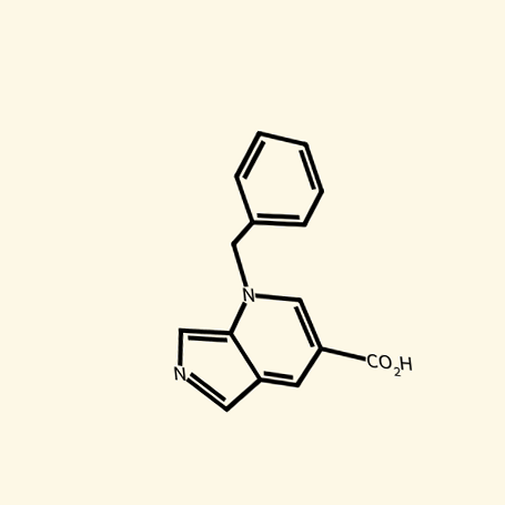 O=C(O)c1cc2cncc-2n(Cc2ccccc2)c1